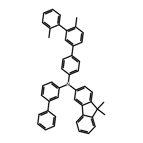 Cc1ccccc1-c1cc(-c2ccc(N(c3cccc(-c4ccccc4)c3)c3ccc4c(c3)-c3ccccc3C4(C)C)cc2)ccc1C